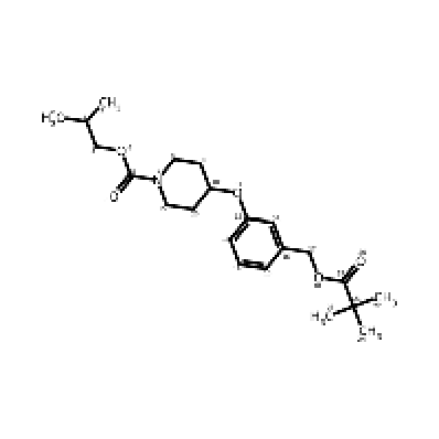 CC(C)COC(=O)N1CCC(Oc2cccc(COC(=O)C(C)(C)C)c2)CC1